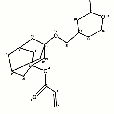 C=CC(=O)OC12CC3CC(CC(OCC4CCOC(C)C4)(C3)C1)C2